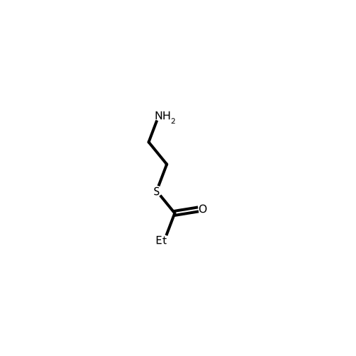 CCC(=O)SCCN